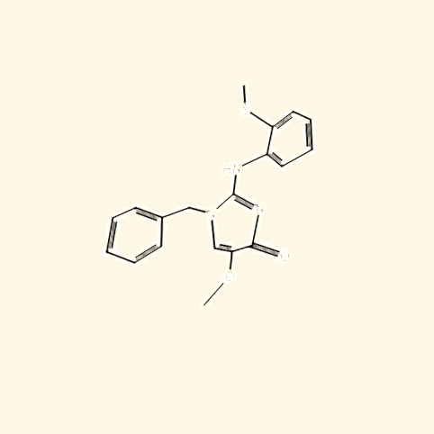 COc1cn(Cc2ccccc2)c(Nc2ccccc2SC)nc1=O